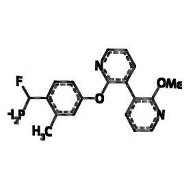 COc1ncccc1-c1cccnc1Oc1ccc(C(F)P)c(C)c1